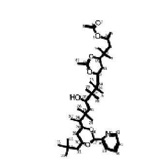 CC(=O)OC(C)CC(C)(C)C1CC(CC(C)(C)C(C)(C)C(O)CC(C)(C)C(C)C2CC(CC(C)(C)C)OC(c3ccccn3)O2)OC(C)O1